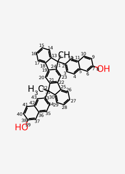 CC1(c2ccc3cc(O)ccc3c2)c2ccccc2-c2cc3c(cc21)-c1ccccc1C3(C)c1ccc2cc(O)ccc2c1